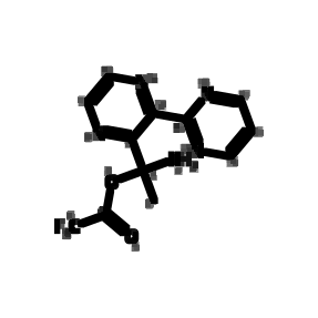 CC(N)(OC(=O)C(F)(F)F)c1nccnc1-c1ncccn1